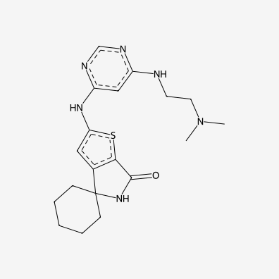 CN(C)CCNc1cc(Nc2cc3c(s2)C(=O)NC32CCCCC2)ncn1